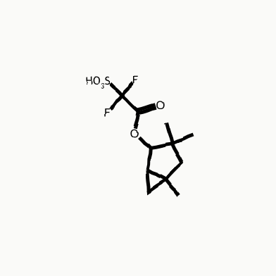 CC1(C)CC2(C)CC2C1OC(=O)C(F)(F)S(=O)(=O)O